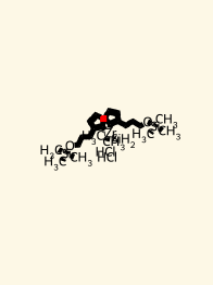 C[Si](C)(C)OCCCC1=[C]([Zr]([CH3])([CH3])(=[SiH2])[C]2=C(CCCO[Si](C)(C)C)C=CC2)CC=C1.Cl.Cl